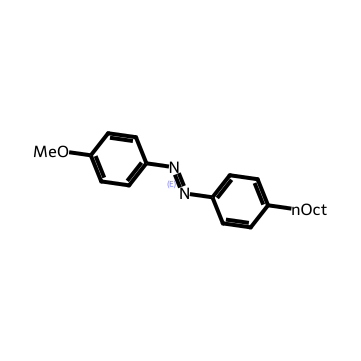 CCCCCCCCc1ccc(/N=N/c2ccc(OC)cc2)cc1